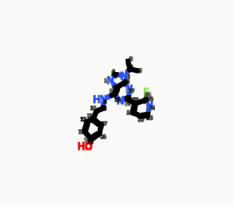 CC(C)n1cnc2c(NCCc3ccc(O)cc3)nc(-c3cccnc3F)nc21